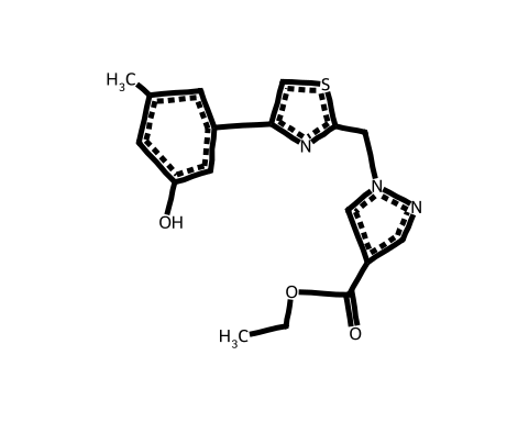 CCOC(=O)c1cnn(Cc2nc(-c3cc(C)cc(O)c3)cs2)c1